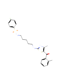 Cc1ccccc1C(=O)c1sc(NCCCCCNS(=O)(=O)c2ccc(F)cc2)nc1C